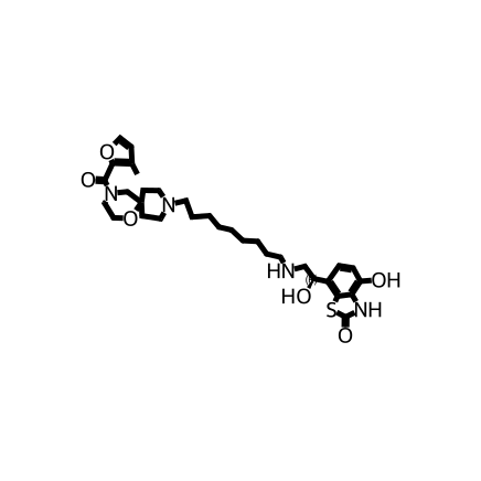 Cc1ccoc1C(=O)N1CCOC2(CCN(CCCCCCCCCNC[C@H](O)c3ccc(O)c4[nH]c(=O)sc34)CC2)C1